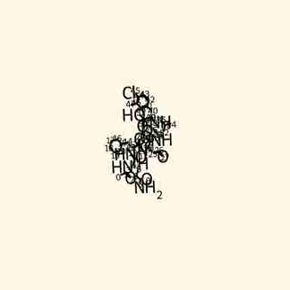 CC(=O)N[C@@H](CCC(N)=O)C(=O)N[C@@H](CC1CCCCC1)C(=O)N[C@@H](CC=O)C(=O)N[C@@H](CC(C)C)C(=O)N[C@@H](Cc1ccc(Cl)c(C)c1)C(=O)O